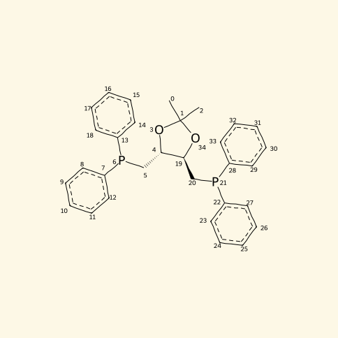 CC1(C)O[C@@H](CP(c2ccccc2)c2ccccc2)[C@H](CP(c2ccccc2)c2ccccc2)O1